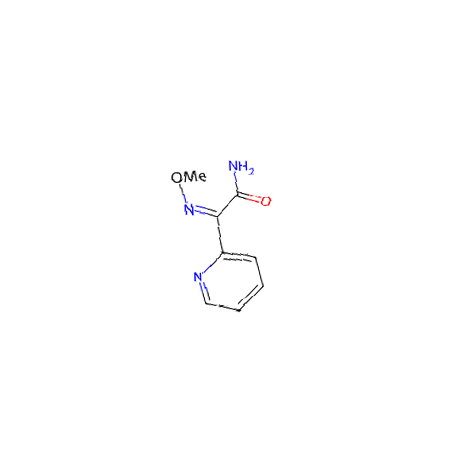 CON=C(C(N)=O)c1ccccn1